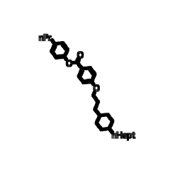 CCCCCCCC1CCC(CCCOc2ccc(C(=O)Oc3ccc(CCC)cc3)cc2)CC1